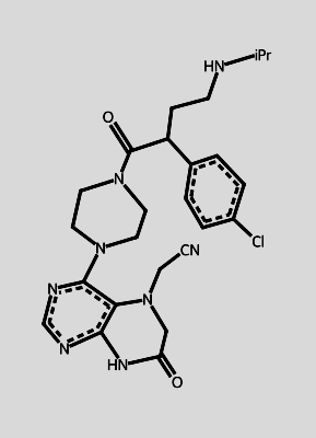 CC(C)NCCC(C(=O)N1CCN(c2ncnc3c2N(CC#N)CC(=O)N3)CC1)c1ccc(Cl)cc1